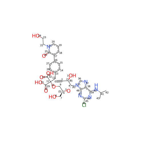 C#C[C@@H](O)[C@@H](O[C@@H](CO)COC(Cc1ccc(-c2cccn(CCO)c2=O)cc1)(C(=O)O)C(=O)O)n1cnc2c(NC(C)C)nc(Cl)nc21